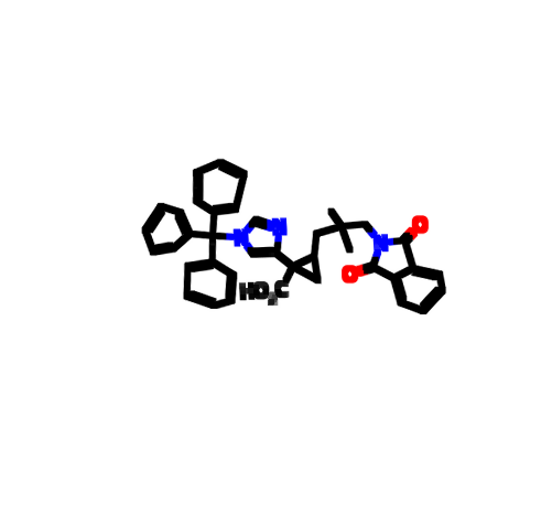 CC(C)(CC1CC1(C(=O)O)c1cn(C(c2ccccc2)(c2ccccc2)c2ccccc2)cn1)CN1C(=O)c2ccccc2C1=O